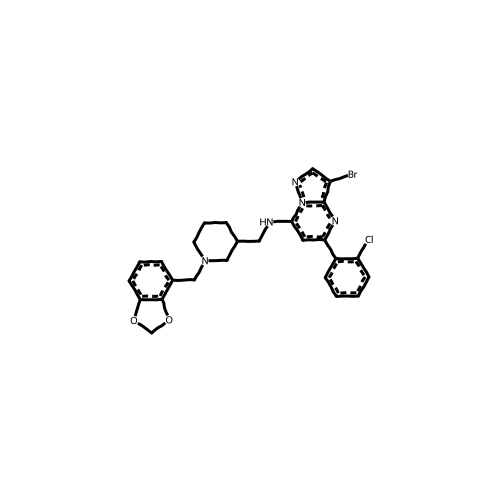 Clc1ccccc1-c1cc(NCC2CCCN(Cc3cccc4c3OCO4)C2)n2ncc(Br)c2n1